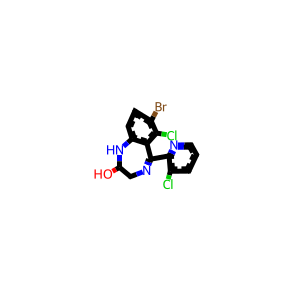 OC1CN=C(c2ncccc2Cl)c2c(ccc(Br)c2Cl)N1